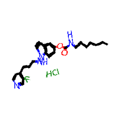 CCCCCCCNC(=O)Oc1ccc2c(ccn2NCCCc2ccncc2F)c1.Cl